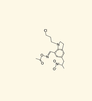 CC(=O)ON=Cc1cc(CC(C)[N+](=O)[O-])cc2c1N(CCCCl)CC2